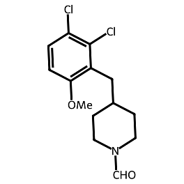 COc1ccc(Cl)c(Cl)c1CC1CCN(C=O)CC1